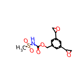 CS(=O)(=O)NC(=O)OCc1cc(C2CO2)cc(C2CO2)c1